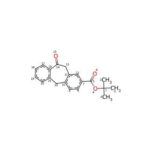 CC(C)(C)OC(=O)c1ccc2c(c1)CC(=O)c1ccccc1C2